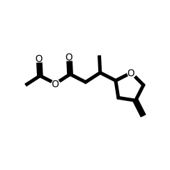 C=C1COC(C(C)CC(=O)OC(C)=O)C1